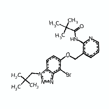 CC(C)(C)Cn1nnc2c(Br)c(OCc3cccnc3NC(=O)C(C)(C)C)ccc21